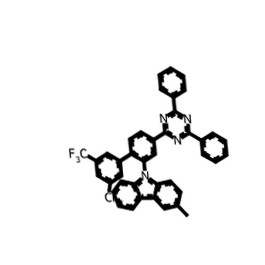 Cc1ccc2c(c1)c1ccccc1n2-c1cc(-c2nc(-c3ccccc3)nc(-c3ccccc3)n2)ccc1-c1cc(C(F)(F)F)cc(C(F)(F)F)c1